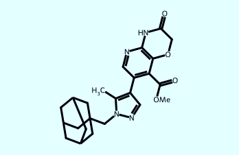 COC(=O)c1c(-c2cnn(CC34CC5CC(CC(C5)C3)C4)c2C)cnc2c1OCC(=O)N2